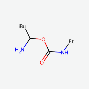 CCNC(=O)OC(N)C(C)CC